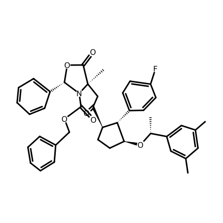 Cc1cc(C)cc([C@@H](C)O[C@H]2CC[C@@H](C(=O)C[C@]3(C)C(=O)O[C@@H](c4ccccc4)N3C(=O)OCc3ccccc3)[C@@H]2c2ccc(F)cc2)c1